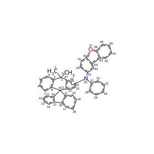 CC1(C)c2ccccc2C2(c3ccccc3-c3ccccc32)c2ccc(N(c3ccccc3)c3ccc4oc5ccccc5c4c3)cc21